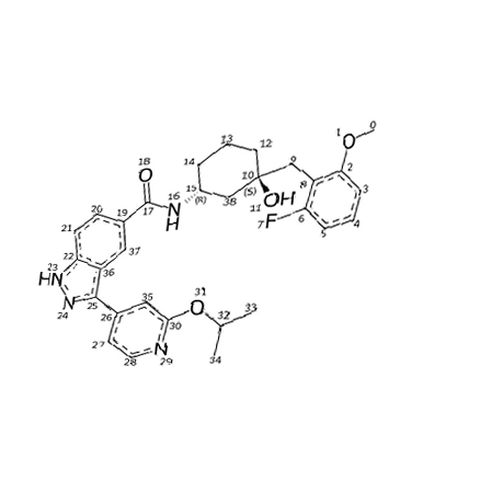 COc1cccc(F)c1C[C@@]1(O)CCC[C@@H](NC(=O)c2ccc3[nH]nc(-c4ccnc(OC(C)C)c4)c3c2)C1